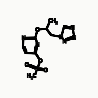 CC(Cn1cnnn1)Oc1nccc(OS(C)(=O)=O)n1